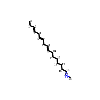 CC/C=C/C/C=C/C/C=C/CCCCCCC[N]C